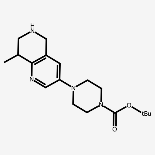 CC1CNCc2cc(N3CCN(C(=O)OC(C)(C)C)CC3)cnc21